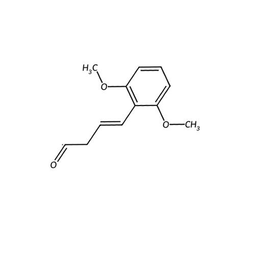 COc1cccc(OC)c1/C=C/C[C]=O